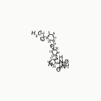 CCC(=O)c1cccc(COc2ccc(Sc3ccncc3C3NC(=O)NC3=O)cc2)c1